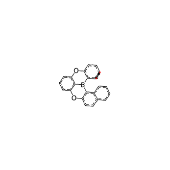 c1cc2c3c(c1)Oc1ccc4ccccc4c1B3c1c(ccc3ccccc13)O2